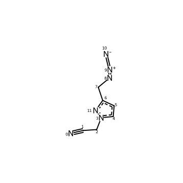 N#CCn1ccc(CN=[N+]=[N-])n1